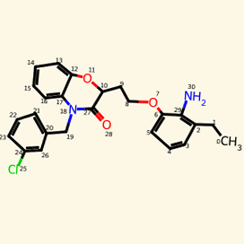 CCc1cccc(OCCC2Oc3ccccc3N(Cc3cccc(Cl)c3)C2=O)c1N